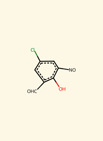 O=Cc1cc(Cl)cc(N=O)c1O